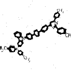 Cc1ccc(-c2cc(-c3ccc(-c4ccc(-c5ccc(-n6c7ccccc7c7cc(N(c8ccc(C)cc8)c8ccc(C)cc8)ccc76)cc5)cc4)cc3)nc(-c3ccc(C)cc3)n2)cc1